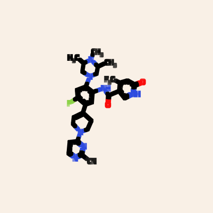 CC1CN(c2cc(F)c(C3=CCN(c4ccnc(C#N)n4)CC3)cc2NC(=O)c2c[nH]c(=O)cc2C(F)(F)F)CC(C)N1C